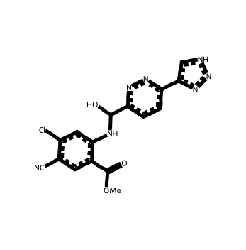 COC(=O)c1cc(C#N)c(Cl)cc1NC(O)c1ccc(-c2c[nH]nn2)nn1